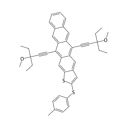 CCC(C#Cc1c2cc3ccccc3cc2c(C#CC(CC)(CC)OC)c2cc3sc(Sc4ccc(C)cc4)cc3cc12)(CC)OC